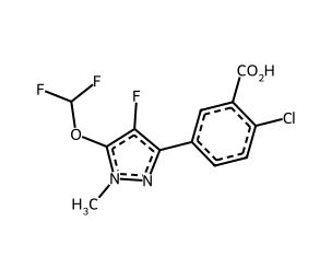 Cn1nc(-c2ccc(Cl)c(C(=O)O)c2)c(F)c1OC(F)F